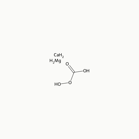 O=C(O)OO.[CaH2].[MgH2]